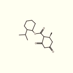 CC(C)C1CCCCC1OC(=O)C1C(=O)CC(=O)C[C@@H]1C